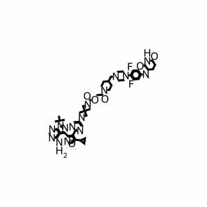 CN(c1cc(F)c(N2CCN(CC3CCN(C(=O)COC(=O)N4CC5(C4)CN(c4cnc(-c6c(-c7nn(C(C)(C)C)c8ncnc(N)c78)noc6C6CC6)nc4)C5)CC3)CC2)c(F)c1)C1CCC(=O)NC1=O